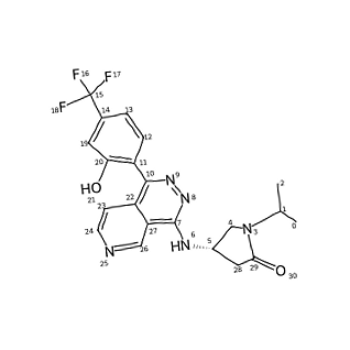 CC(C)N1C[C@@H](Nc2nnc(-c3ccc(C(F)(F)F)cc3O)c3ccncc23)CC1=O